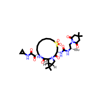 CC1(C)CC(=O)N(C[C@@H](NC(=O)N[C@H]2CS(=O)(=O)CCCCCCC[C@@H](C(=O)C(=O)NC3CC3)NC(=O)[C@@H]3[C@@H]4[C@H](CN3C2=O)C4(C)C)C(C)(C)C)C(=O)C1